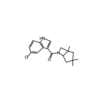 CC1(C)CC2N(C(=O)c3c[nH]c4ccc(Cl)cc34)CC2(C)C1